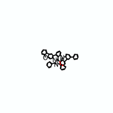 c1ccc(-c2ccc3c(c2)c2ccccc2n3-c2cccc(-c3ccc4oc5ccccc5c4c3)c2-c2nc(-c3ccccc3)nc(-c3ccccc3)n2)cc1